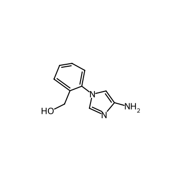 Nc1cn(-c2ccccc2CO)cn1